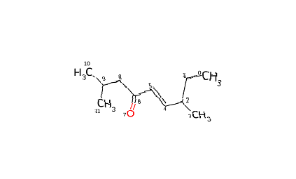 CCC(C)/C=C/C(=O)CC(C)C